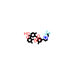 CC1=C(C(=O)O)CC(C(=O)O)(c2cccc(C)c2COc2ccc(-c3ccn(CC(F)(F)F)n3)cc2C)C=C1